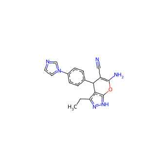 CCc1n[nH]c2c1C(c1ccc(-n3ccnc3)cc1)C(C#N)=C(N)O2